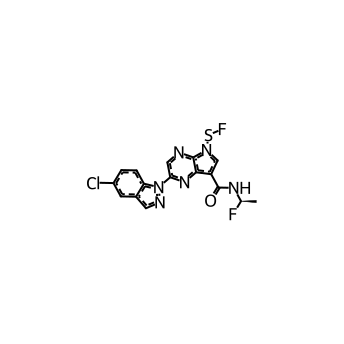 C[C@@H](F)NC(=O)c1cn(SF)c2ncc(-n3ncc4cc(Cl)ccc43)nc12